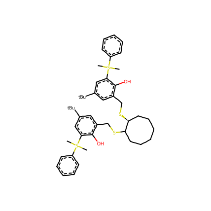 CC(C)(C)c1cc(CSC2CCCCCC[C@@H]2SCc2cc(C(C)(C)C)cc(S(C)(C)c3ccccc3)c2O)c(O)c(S(C)(C)c2ccccc2)c1